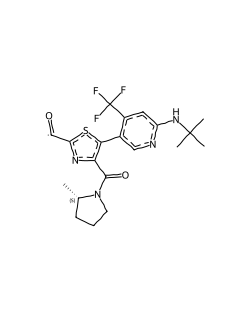 C[C@H]1CCCN1C(=O)c1nc([C]=O)sc1-c1cnc(NC(C)(C)C)cc1C(F)(F)F